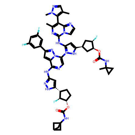 Cc1cnn(C)c1-c1c(C)nc(Nc2cc([C@H]3C[C@@H](F)[C@@H](OC(=O)NC4(C)CC4)C3)[nH][n+]2-c2cnc(Nc3cc([C@@H]4CC[C@H](OC(=O)NC56CC(C5)C6)[C@H]4F)[nH]n3)c3cc(-c4cc(F)cc(F)c4)nn23)n2ccnc12